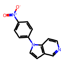 O=[N+]([O-])c1ccc(-n2ccc3[c]nccc32)cc1